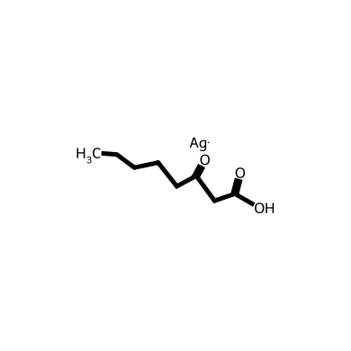 CCCCCC(=O)CC(=O)O.[Ag]